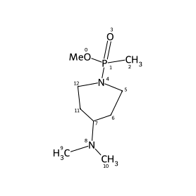 COP(C)(=O)N1CCC(N(C)C)CC1